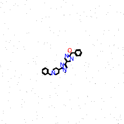 Cn1cc(-c2cnc(C(=O)c3ccccc3)nc2)nc1C1CCN(Cc2ccccc2)CC1